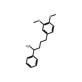 COc1ccc(CCCC(N)c2ccccc2)cc1OC